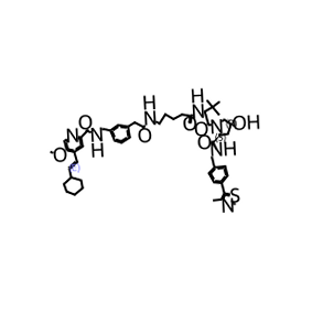 COc1cnc(C(=O)NCc2cccc(CC(=O)NCCCCC(=O)NC(C(=O)N3C[C@H](O)C[C@H]3C(=O)NCc3ccc(-c4scnc4C)cc3)C(C)(C)C)c2)cc1/C=C/C1CCCCC1